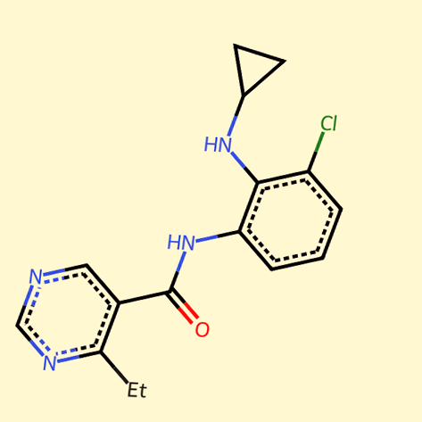 CCc1ncncc1C(=O)Nc1cccc(Cl)c1NC1CC1